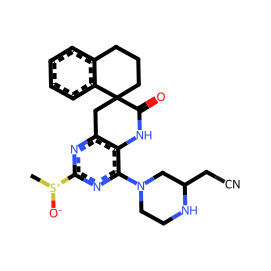 C[S+]([O-])c1nc2c(c(N3CCNC(CC#N)C3)n1)NC(=O)C1(CCCc3ccccc31)C2